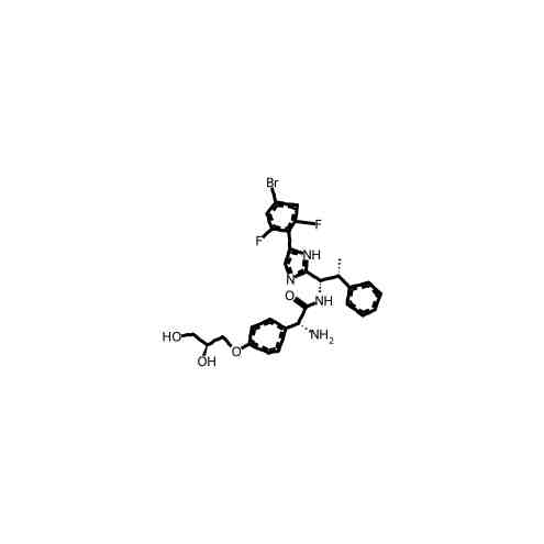 C[C@H](c1ccccc1)[C@H](NC(=O)[C@H](N)c1ccc(OC[C@@H](O)CO)cc1)c1ncc(-c2c(F)cc(Br)cc2F)[nH]1